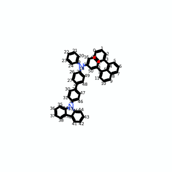 c1ccc(-c2cccc3cccc(-c4cccc(N(c5ccccc5)c5ccc(-c6ccc(-n7c8ccccc8c8ccccc87)cc6)cc5)c4)c23)cc1